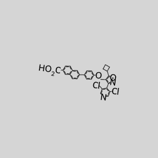 O=C(O)c1ccc2cc(-c3ccc(OCc4c(-c5c(Cl)cncc5Cl)noc4C4CCC4)cc3)ccc2c1